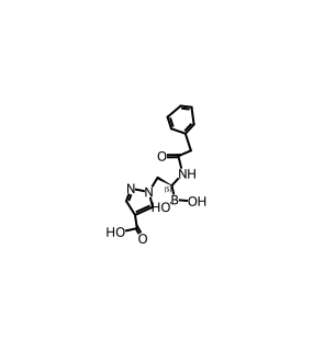 O=C(Cc1ccccc1)N[C@H](Cn1cc(C(=O)O)cn1)B(O)O